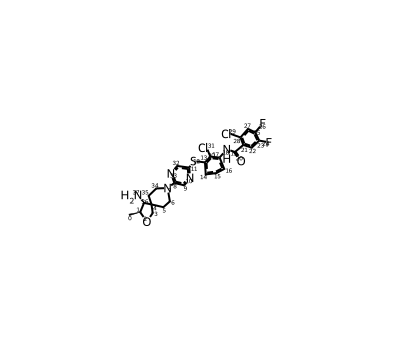 C[C@@H]1OCC2(CCN(c3cnc(Sc4cccc(NC(=O)c5cc(F)c(F)cc5Cl)c4Cl)cn3)CC2)[C@@H]1N